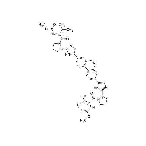 COC(=O)N[C@H](C(=O)N1CCC[C@H]1c1ncc(-c2ccc3c(ccc4cc(-c5cnc([C@@H]6CCCN6C(=O)[C@@H](NC(=O)OC)C(C)C)[nH]5)ccc43)c2)[nH]1)C(C)C